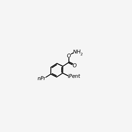 CCCc1ccc(C(=O)ON)c(C(C)CCC)c1